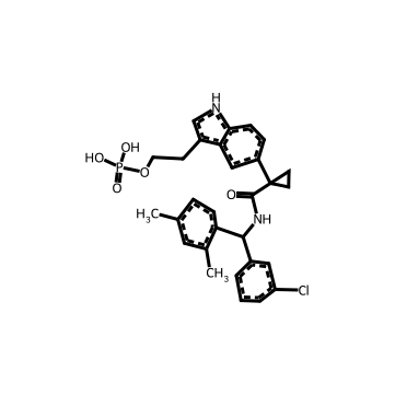 Cc1ccc(C(NC(=O)C2(c3ccc4[nH]cc(CCOP(=O)(O)O)c4c3)CC2)c2cccc(Cl)c2)c(C)c1